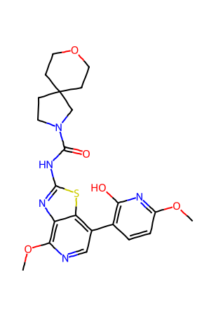 COc1ccc(-c2cnc(OC)c3nc(NC(=O)N4CCC5(CCOCC5)C4)sc23)c(O)n1